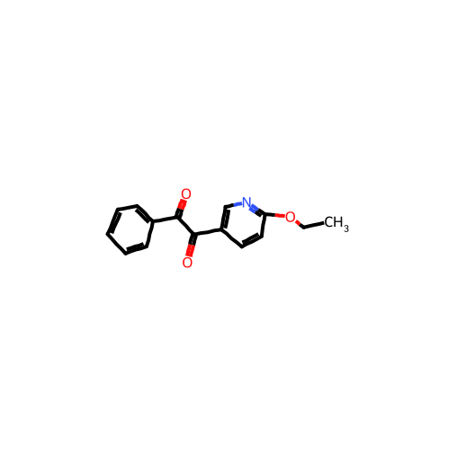 CCOc1ccc(C(=O)C(=O)c2ccccc2)cn1